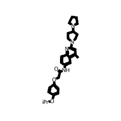 Cc1cc(N2CCC(N3CCCC3)CC2)nc2ccc(NC(=O)COc3ccc(OC(C)C)cc3)cc12